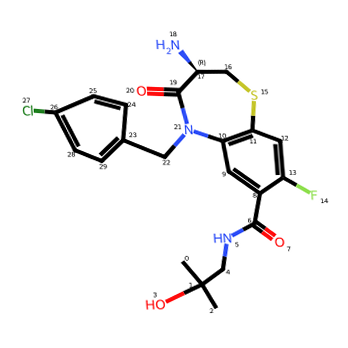 CC(C)(O)CNC(=O)c1cc2c(cc1F)SC[C@H](N)C(=O)N2Cc1ccc(Cl)cc1